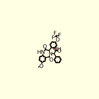 COc1ccc2c(c1)C(=O)N(C(C(=O)O)c1ccccc1)C(c1ccc(OC(F)(F)F)cc1)C(=O)N2